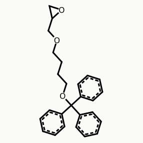 c1ccc(C(OCCCCOCC2CO2)(c2ccccc2)c2ccccc2)cc1